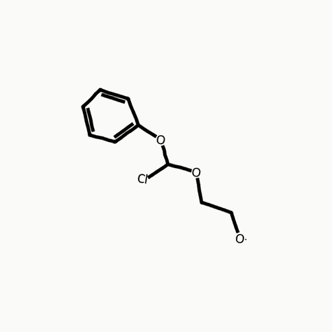 [O]CCOC(Cl)Oc1ccccc1